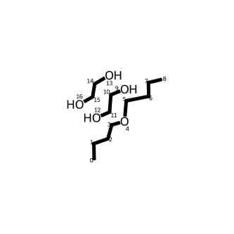 CCCCOCCCC.OCCO.OCCO